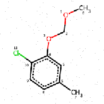 COCOc1cc(C)ccc1Cl